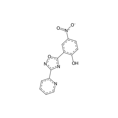 O=[N+]([O-])c1ccc(O)c(-c2nc(-c3ccccn3)no2)c1